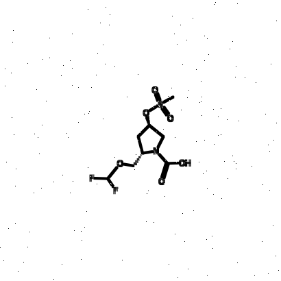 CS(=O)(=O)O[C@@H]1C[C@@H](COC(F)F)N(C(=O)O)C1